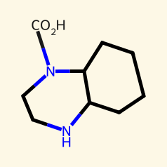 O=C(O)N1CCNC2CCCCC21